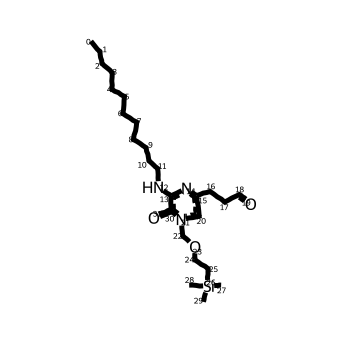 CCCCCCCCCCCCNc1nc(CCC=O)cn(COCC[Si](C)(C)C)c1=O